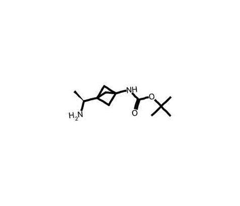 C[C@H](N)C12CC(NC(=O)OC(C)(C)C)(C1)C2